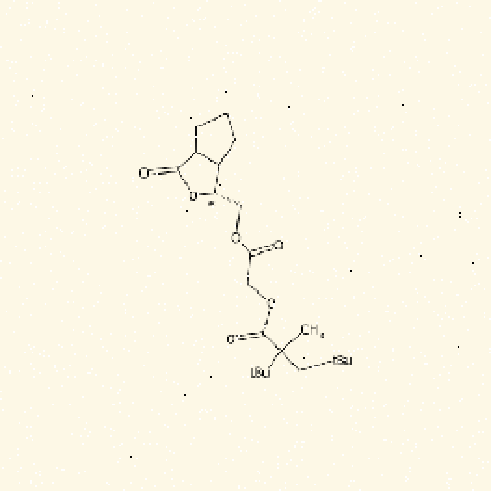 CC(C)(C)CC(C)(C(=O)OCC(=O)OC[C@@H]1OC(=O)C2CCCC21)C(C)(C)C